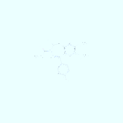 CNC(=O)N1N=C(c2ccc(Br)cc2)c2cc(OC)c(OC)cc2CC1C(C)C